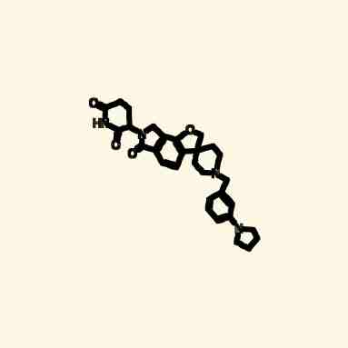 O=C1CCC(N2Cc3c(ccc4c3OCC43CCN(Cc4cccc(N5CCCC5)c4)CC3)C2=O)C(=O)N1